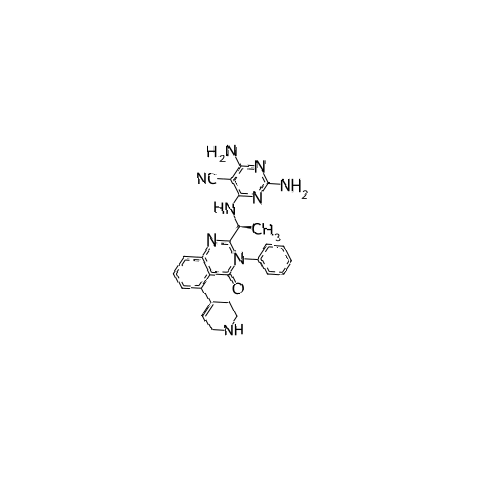 C[C@H](Nc1nc(N)nc(N)c1C#N)c1nc2cccc(C3=CCNCC3)c2c(=O)n1-c1ccccc1